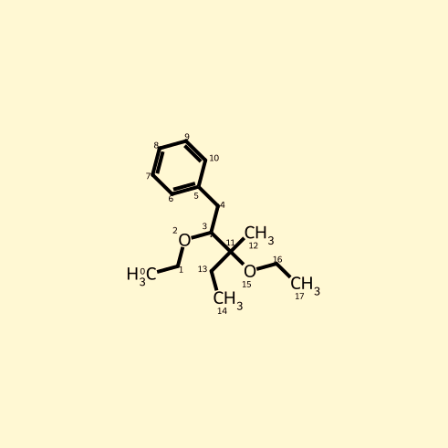 CCO[C](Cc1ccccc1)C(C)(CC)OCC